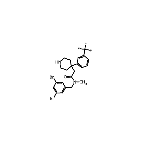 CN(Cc1cc(Br)cc(Br)c1)C(=O)CC1(c2cccc(C(F)(F)F)c2)CCNCC1